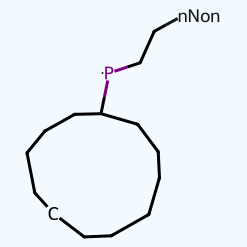 CCCCCCCCCCC[P]C1CCCCCCCCCCC1